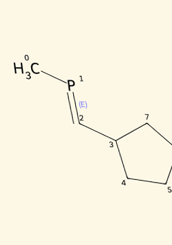 C/P=C/C1CCCC1